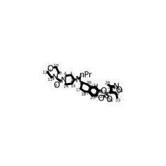 CCCN(C1CCN(C(=O)N2CCOCC2)CC1)C1CCc2ccc(OS(=O)(=O)c3c(C)noc3C)cc2C1